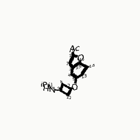 CC(=O)c1cc2cc(O[C@H]3C[C@H](NC(C)C)C3)ccc2o1